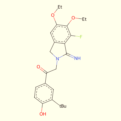 CCOc1cc2c(c(F)c1OCC)C(=N)N(CC(=O)c1ccc(O)c(C(C)(C)C)c1)C2